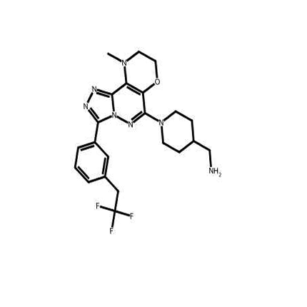 CN1CCOc2c(N3CCC(CN)CC3)nn3c(-c4cccc(CC(F)(F)F)c4)nnc3c21